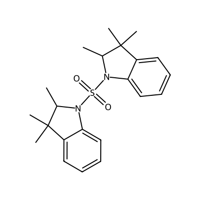 CC1N(S(=O)(=O)N2c3ccccc3C(C)(C)C2C)c2ccccc2C1(C)C